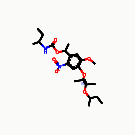 CCC(C)NC(=O)OC(C)c1cc(OC)c(O/C(C)=C(\C)OC(C)CC)cc1[N+](=O)[O-]